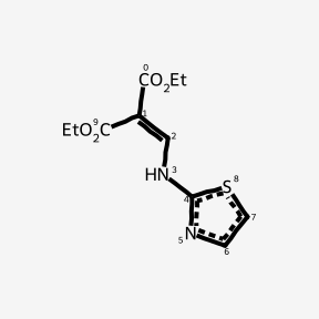 CCOC(=O)C(=CNc1nccs1)C(=O)OCC